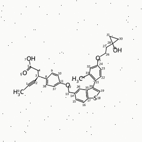 CC#C[C@@H](CC(=O)O)c1ccc(OCc2ccc3scc(-c4ccc(OCCC5(O)CC5)cc4C)c3c2)cc1